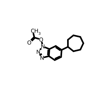 CC(=O)On1nnc2ccc(C3CCCCCC3)cc21